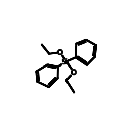 CCO[Si](OCC)(c1ccccc1)c1ccccc1